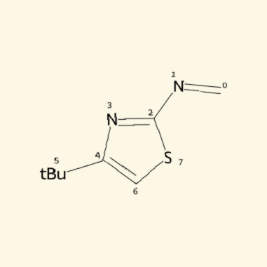 C=Nc1nc(C(C)(C)C)cs1